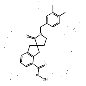 Cc1ccc(CN2CCC3(Cc4cccc(C(=O)NO)c4C3)C2=O)cc1C